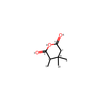 CC1C(=O)OC(=O)CC1(C)C